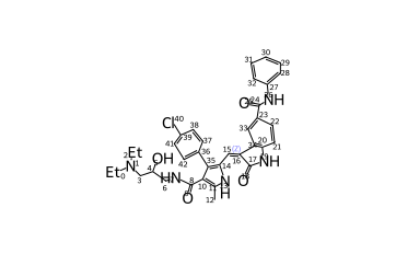 CCN(CC)CC(O)CNC(=O)c1c(C)[nH]c(/C=C2\C(=O)Nc3ccc(C(=O)Nc4ccccc4)cc32)c1-c1ccc(Cl)cc1